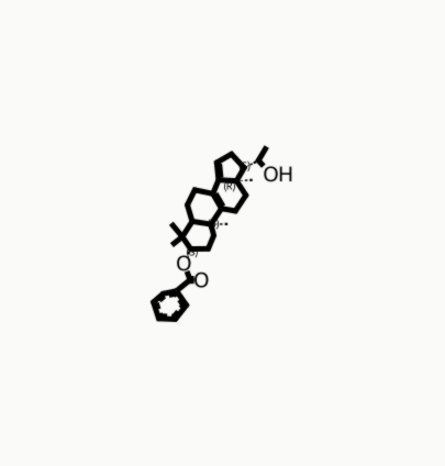 CC(O)[C@H]1CC=C2C3=C(CC[C@@]21C)[C@@]1(C)CC[C@H](OC(=O)c2ccccc2)C(C)(C)C1CC3